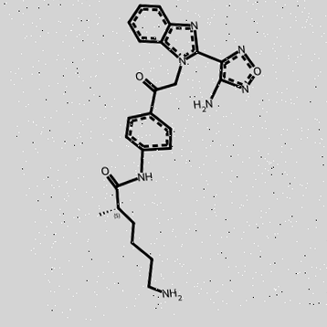 C[C@@H](CCCCN)C(=O)Nc1ccc(C(=O)Cn2c(-c3nonc3N)nc3ccccc32)cc1